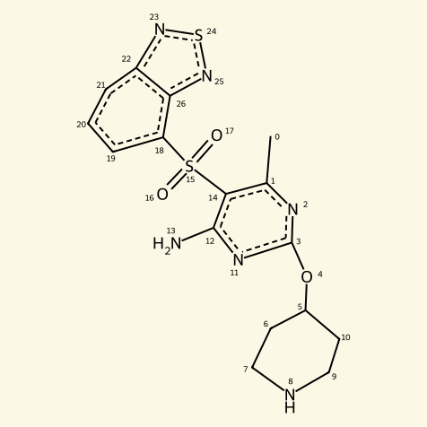 Cc1nc(OC2CCNCC2)nc(N)c1S(=O)(=O)c1cccc2nsnc12